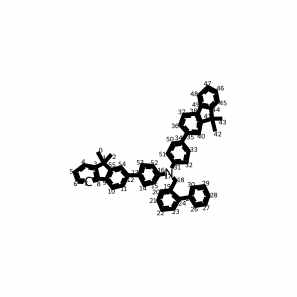 CC1(C)c2ccccc2-c2ccc(-c3ccc(N(Cc4ccccc4-c4ccccc4)c4ccc(-c5ccc6c(c5)C(C)(C)c5ccccc5-6)cc4)cc3)cc21